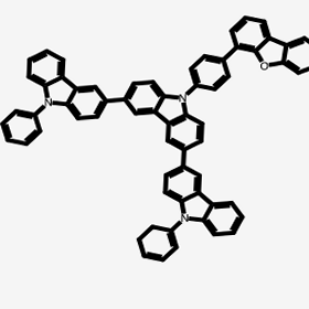 C1=CCCC(n2c3ccccc3c3cc(-c4ccc5c(c4)c4cc(-c6ccc7c(c6)c6ccccc6n7-c6ccccc6)ccc4n5-c4ccc(-c5cccc6c5oc5ccccc56)cc4)ccc32)=C1